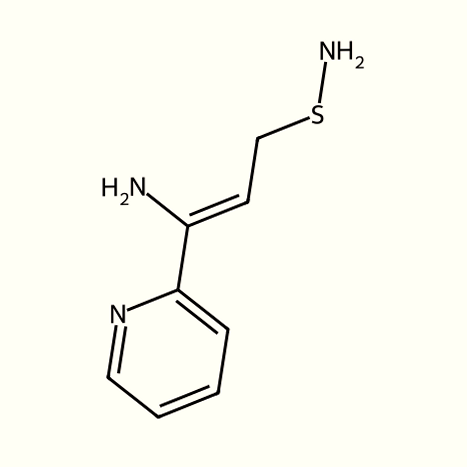 NSC/C=C(\N)c1ccccn1